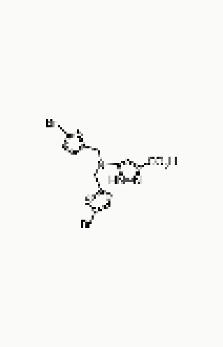 O=C(O)c1cc(N(Cc2ccc(Br)s2)Cc2ccc(Br)s2)[nH]n1